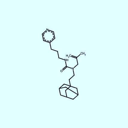 C=C(C)CN(CCC12CC3CC(CC(C3)C1)C2)C(=O)NCCCc1ccncc1